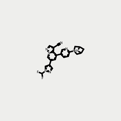 N#Cc1cnn2cc(-c3cnn(C(F)F)c3)cc(-c3ccc(N4CC5CC(C4)N5)nc3)c12